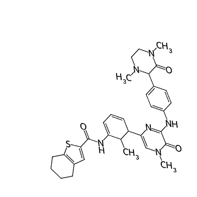 CC1C(NC(=O)c2cc3c(s2)CCCC3)=CC=CC1c1cn(C)c(=O)c(Nc2ccc(C3C(=O)N(C)CCN3C)cc2)n1